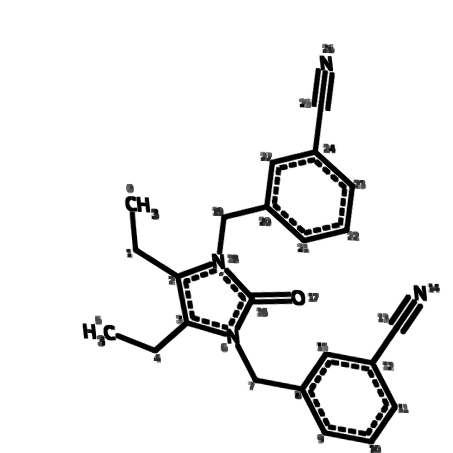 CCc1c(CC)n(Cc2cccc(C#N)c2)c(=O)n1Cc1cccc(C#N)c1